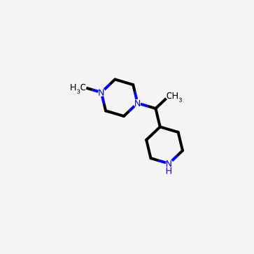 CC(C1CCNCC1)N1CCN(C)CC1